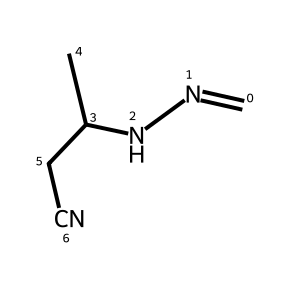 C=NNC(C)CC#N